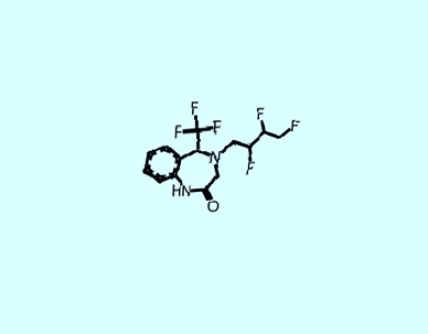 O=C1CN(CC(F)C(F)CF)C(C(F)(F)F)c2ccccc2N1